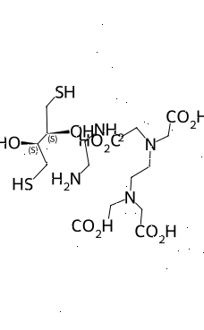 NCCN.O=C(O)CN(CCN(CC(=O)O)CC(=O)O)CC(=O)O.O[C@H](CS)[C@H](O)CS